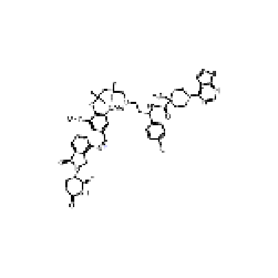 COc1cc(/N=N\c2cccc3c2CN(C2CCC(=O)NC2=O)C3=O)cc(OC)c1OC(C)(C)CC(C)(C)COCCC(NC(=O)C1(N)CCN(c2ncnc3[nH]ccc23)CC1)c1ccc(Cl)cc1